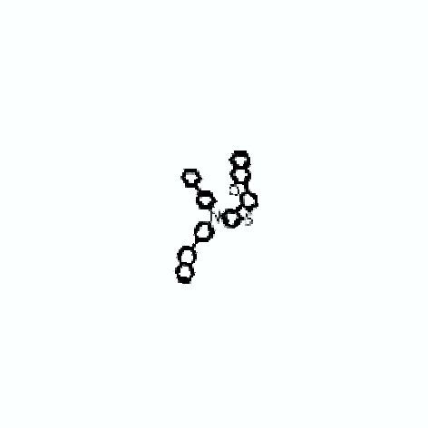 c1ccc(-c2ccc(N(c3ccc(-c4ccc5ccccc5c4)cc3)c3ccc4sc5ccc6c7cc8ccccc8cc7oc6c5c4c3)cc2)cc1